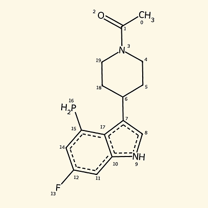 CC(=O)N1CCC(c2c[nH]c3cc(F)cc(P)c23)CC1